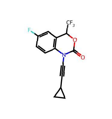 O=C1OC(C(F)(F)F)c2cc(F)ccc2N1C#CC1CC1